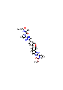 COC(=O)N[C@H](C(=O)N1C[C@@H](C)C[C@H]1c1ncc(-c2ccc3c(c2)COc2cc4c(ccc5nc([C@@H]6C[C@H](C)CN6C(=O)OC(C)(C)C)[nH]c54)cc2-3)[nH]1)C(C)C